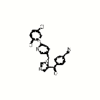 N#Cc1ccc(C(=O)c2cncn2Cc2ccc(-n3cc(Cl)ccc3=O)nc2)cc1